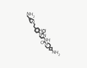 Cl.NCC1C2CN(CCc3ccc(-n4ccc(NC(=O)N5CCC6(CC5)CC(N)C6)nc4=O)cc3)CC12